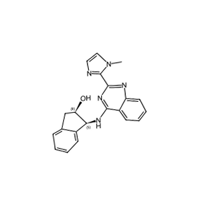 Cn1ccnc1-c1nc(N[C@H]2c3ccccc3C[C@H]2O)c2ccccc2n1